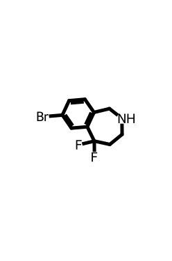 FC1(F)CCNCc2ccc(Br)cc21